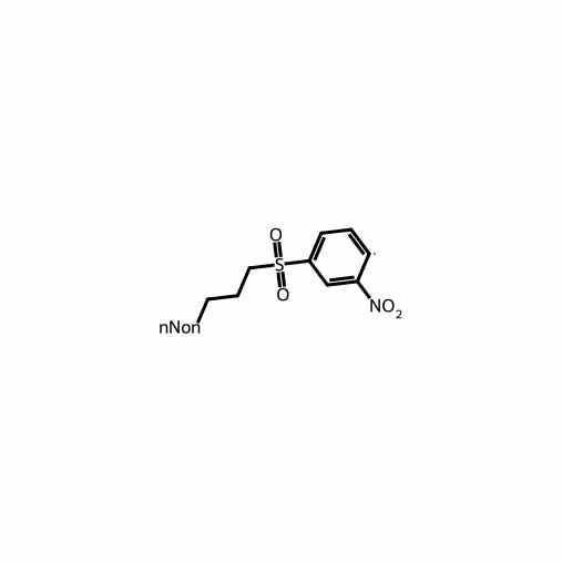 CCCCCCCCCCCCS(=O)(=O)c1cc[c]c([N+](=O)[O-])c1